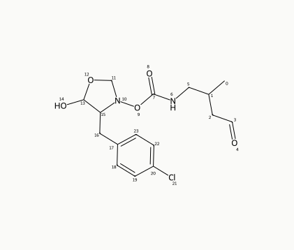 CC(CC=O)CNC(=O)ON1COC(O)C1Cc1ccc(Cl)cc1